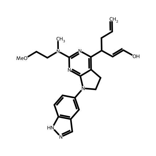 C=CCC(/C=C/O)c1nc(N(C)CCOC)nc2c1CCN2c1ccc2[nH]ncc2c1